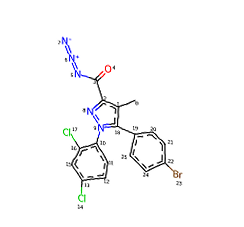 Cc1c(C(=O)N=[N+]=[N-])nn(-c2ccc(Cl)cc2Cl)c1-c1ccc(Br)cc1